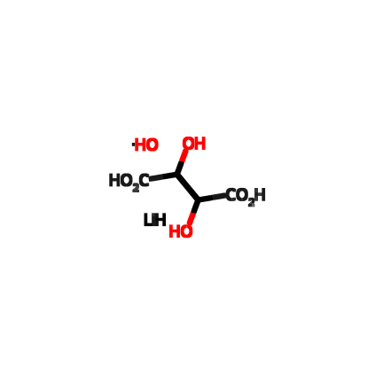 O=C(O)C(O)C(O)C(=O)O.[LiH].[OH]